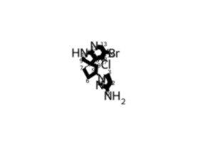 Nc1ccn([C@H]2CC[C@@]3(CNc4ncc(Br)c(Cl)c43)C2)n1